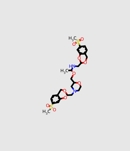 CC(NCC1OCc2ccc(S(C)(=O)=O)cc2O1)OCC1CN(CC2OCc3ccc(S(C)(=O)=O)cc3O2)CCO1